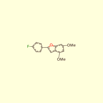 COc1cc(OC)c2cc(-c3ccc(F)cc3)oc2c1